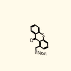 CCCCCCCCCCc1cccc2sc3ccccc3c(=O)c12